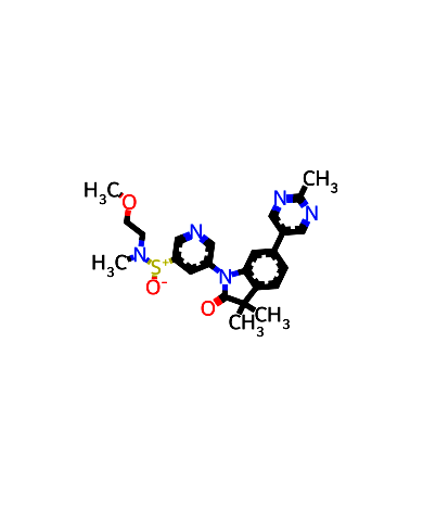 COCCN(C)[S+]([O-])c1cncc(N2C(=O)C(C)(C)c3ccc(-c4cnc(C)nc4)cc32)c1